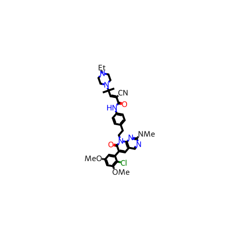 CCN1CCN(C(C)(C)C=C(C#N)C(=O)Nc2ccc(CCn3c(=O)c(-c4cc(OC)cc(OC)c4Cl)cc4cnc(NC)nc43)cc2)CC1